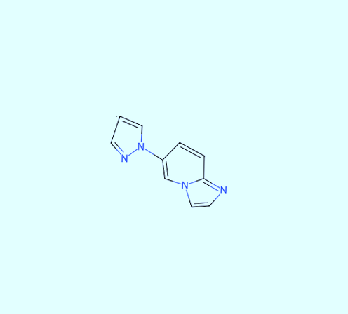 [c]1cnn(-c2ccc3nccn3c2)c1